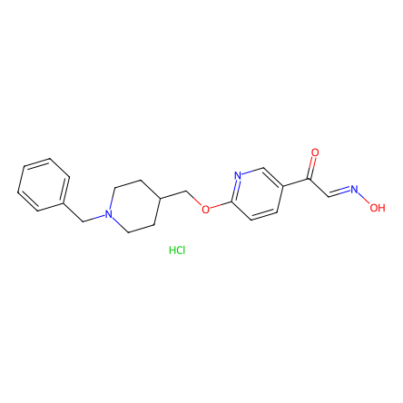 Cl.O=C(/C=N/O)c1ccc(OCC2CCN(Cc3ccccc3)CC2)nc1